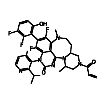 C=CC(=O)N1CC(C)N2c3nc(=O)n(-c4c(C)ccnc4C(C)C)c4c(F)c(-c5c(O)ccc(F)c5F)c(F)c(c34)N(C)CCC2C1